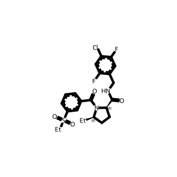 CC[C@@H]1CC[C@H](C(=O)NCc2cc(F)c(Cl)cc2F)N1C(=O)c1cccc(S(=O)(=O)CC)c1